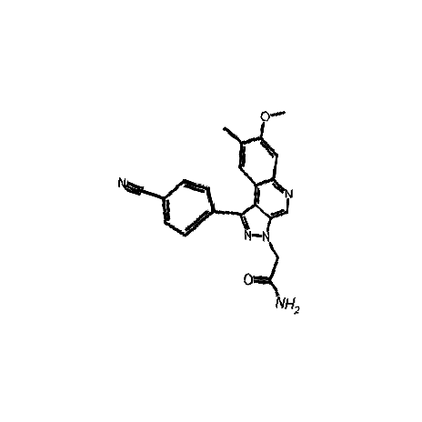 COc1cc2ncc3c(c(-c4ccc(C#N)cc4)nn3CC(N)=O)c2cc1C